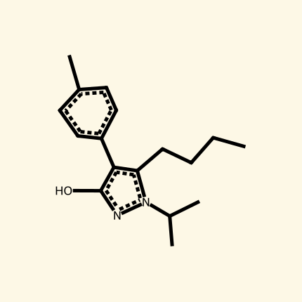 CCCCc1c(-c2ccc(C)cc2)c(O)nn1C(C)C